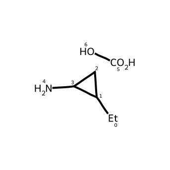 CCC1CC1N.O=C(O)O